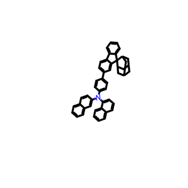 c1ccc2c(c1)-c1ccc(-c3ccc(N(c4ccc5ccccc5c4)c4cccc5ccccc45)cc3)cc1C21C2CC3CC(C2)CC1C3